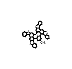 Cc1cc2c3c(c1)-c1c4c(cc5sc6ccccc6c5c4cc4sc5ccccc5c14)B3c1cc3sc4ccccc4c3c3cc4sc5ccccc5c4c-2c13